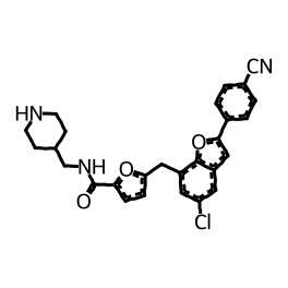 N#Cc1ccc(-c2cc3cc(Cl)cc(Cc4ccc(C(=O)NCC5CCNCC5)o4)c3o2)cc1